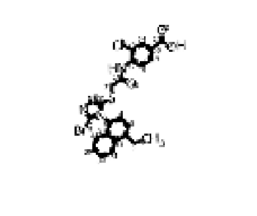 CCc1ccc(-n2c(Br)nnc2SCC(=O)Nc2ccc(C(=O)O)cc2Cl)c2ccccc12